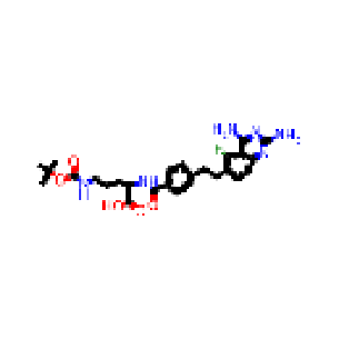 CC(C)(C)OC(=O)NCCCC(NC(=O)c1ccc(CCc2ccc3nc(N)nc(N)c3c2F)cc1)C(=O)O